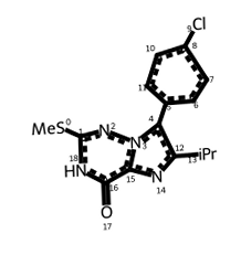 CSc1nn2c(-c3ccc(Cl)cc3)c(C(C)C)nc2c(=O)[nH]1